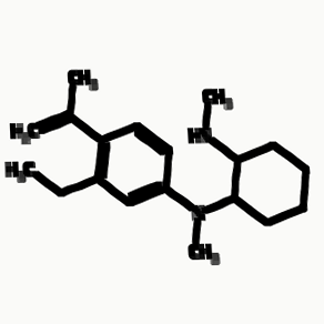 C=C(C)c1ccc(N(C)C2CCCCC2NC)cc1CC